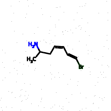 CC(N)C/C=C\C=C\Br